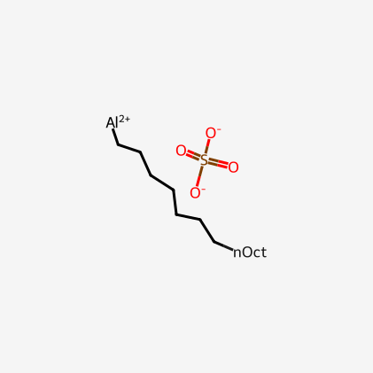 CCCCCCCCCCCCCC[CH2][Al+2].O=S(=O)([O-])[O-]